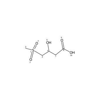 CS(=O)(=O)CC(O)CC(=O)O